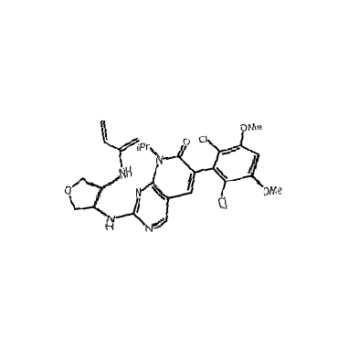 C=CC(=C)NC1COCC1Nc1ncc2cc(-c3c(Cl)c(OC)cc(OC)c3Cl)c(=O)n(C(C)C)c2n1